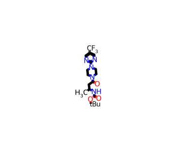 CC(CC(=O)N1CCN(c2ncc(C(F)(F)F)cn2)CC1)NC(=O)OC(C)(C)C